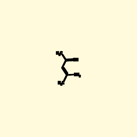 CC(=N)C=C(C)N